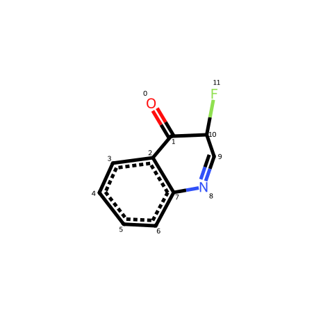 O=C1c2ccccc2N=CC1F